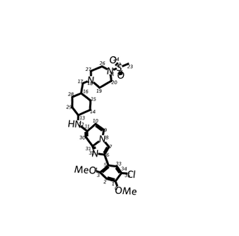 COc1cc(OC)c(-c2cn3ccc(NC4CCC(CN5CCN(S(C)(=O)=O)CC5)CC4)cc3n2)cc1Cl